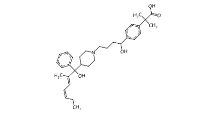 CC/C=C\C=C(/C)C(O)(c1ccccc1)C1CCN(CCCC(O)c2ccc(C(C)(C)C(=O)O)cc2)CC1